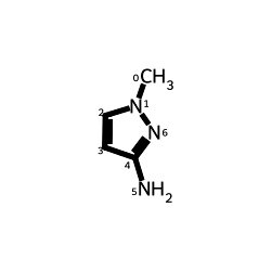 Cn1[c]cc(N)n1